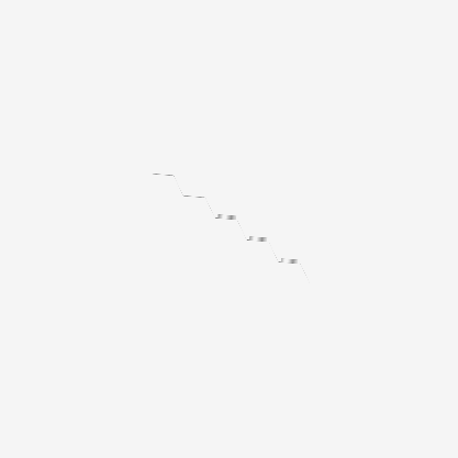 [CH2]CCCC=CC=CC=CC